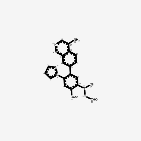 COc1cc(-n2cccn2)c(-c2ccc3c(N)cnnc3c2)cc1B(O)OC=O